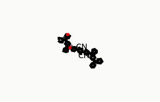 C#C/C=C(\C=C/C)N(c1ccccc1)c1ccc2c(c1)c1ccccc1n2-c1ccc(-c2cc(C#N)c(-c3ccc(-n4c5c(c6ccccc64)CC(N(c4ccccc4)c4ccccc4)C=C5)cc3)cc2C#N)cc1